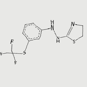 FC(F)(F)Sc1cccc(NNC2=NCCS2)c1